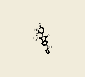 C=C1c2ccc(NC3CCC3)cc2C(=O)N1C1CCC(=O)NC1=O